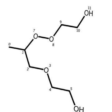 CC(COCCO)OOCCO